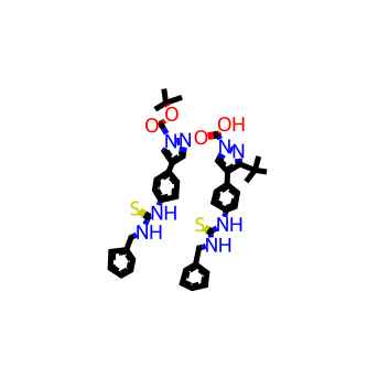 CC(C)(C)OC(=O)n1cc(-c2ccc(NC(=S)NCc3ccccc3)cc2)cn1.CC(C)(C)c1nn(C(=O)O)cc1-c1ccc(NC(=S)NCc2ccccc2)cc1